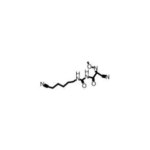 CO/N=C(/C#N)C(=O)NC(=O)NCCCCCC#N